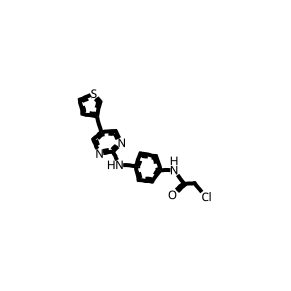 O=C(CCl)Nc1ccc(Nc2ncc(-c3ccsc3)cn2)cc1